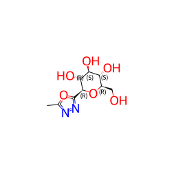 Cc1nnc([C@@H]2O[C@H](CO)[C@@H](O)[C@H](O)[C@H]2O)o1